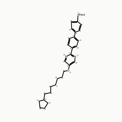 CCCCCc1ccc(-c2ccc(-c3ncc(OCCCCCCCC4CCCC4)cn3)cc2)cc1